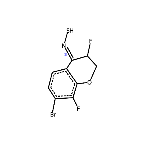 Fc1c(Br)ccc2c1OCC(F)/C2=N\S